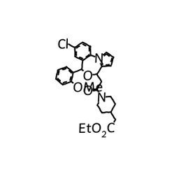 CCOC(=O)CC1CCN(C(=O)CC2OC(c3ccccc3OC)c3cc(Cl)ccc3-n3cccc32)CC1